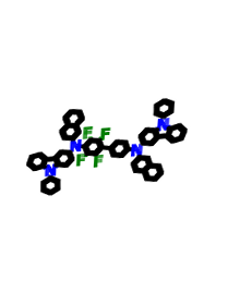 Fc1c(F)c(N(c2ccc3ccccc3c2)c2ccc3c(c2)c2ccccc2n3-c2ccccc2)c(F)c(F)c1-c1ccc(N(c2ccc3ccccc3c2)c2ccc3c(c2)c2ccccc2n3-c2ccccc2)cc1